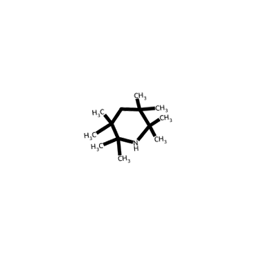 CC1(C)CC(C)(C)C(C)(C)NC1(C)C